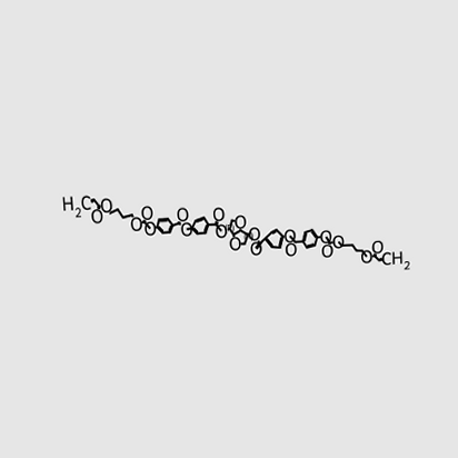 C=CC(=O)OCCCCOC(=O)Oc1ccc(C(=O)Oc2ccc(C(=O)O[C@@H]3COC4C3OC[C@H]4OC(=O)c3ccc(OC(=O)c4ccc(OC(=O)OCCCCOC(=O)C=C)cc4)cc3)cc2)cc1